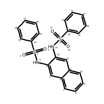 O=S(=O)(Nc1cc2ccccc2cc1NS(=O)(=O)c1ccccc1)c1ccccc1